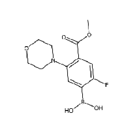 COC(=O)c1cc(F)c(B(O)O)cc1N1CCOCC1